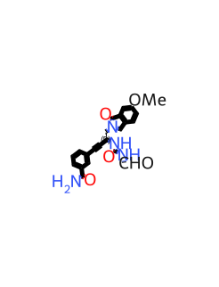 COc1ccc2c(c1)C(=O)N(C[C@@H](C#Cc1cccc(C(N)=O)c1)NC(=O)NC=O)C2